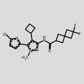 Cn1nc(NC(=O)C2CC3(C2)CC(F)(F)C3)c(C2CCC2)c1-c1ccc(Cl)s1